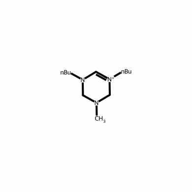 CCCCN1C=[N+](CCCC)CN(C)C1